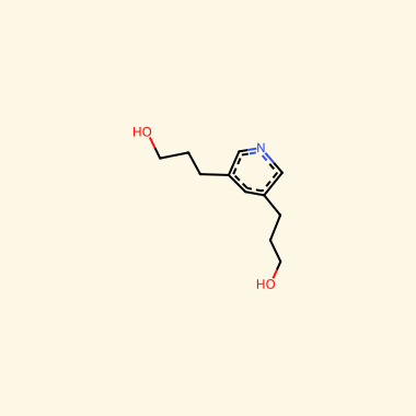 OCCCc1cncc(CCCO)c1